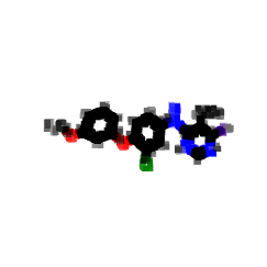 CNc1c(I)ncnc1Nc1ccc(Oc2cccc(OC(F)(F)F)c2)c(Cl)c1